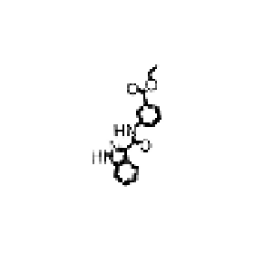 CCOC(=O)c1cccc(NC(=O)c2n[nH]c3ccccc23)c1